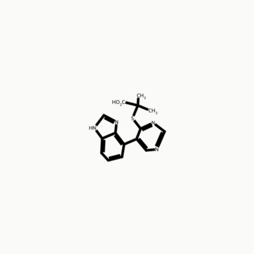 CC(C)(Sc1ncncc1-c1cccc2[nH]cnc12)C(=O)O